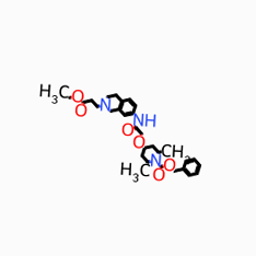 CCOC(=O)CCN1CCc2ccc(NC(=O)COC3CC(C)N(C(=O)OCc4ccccc4)C(C)C3)cc2C1